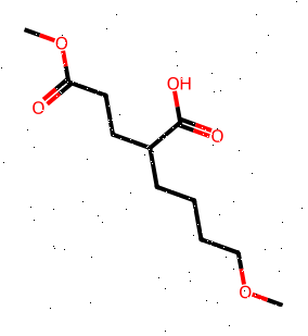 COCCCCC(CCC(=O)OC)C(=O)O